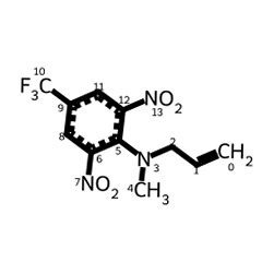 C=CCN(C)c1c([N+](=O)[O-])cc(C(F)(F)F)cc1[N+](=O)[O-]